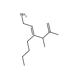 C=C(C)C(C)/C(=C/CN)CCCC